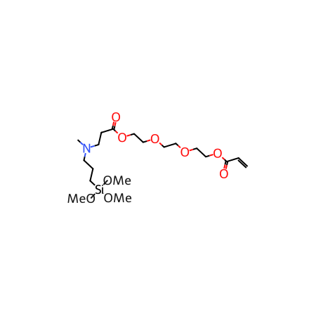 C=CC(=O)OCCOCCOCCOC(=O)CCN(C)CCC[Si](OC)(OC)OC